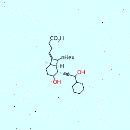 CCCCCCC1C(=CCCC(=O)O)[C@]2(C)CC[C@H](O)[C@@H](C#CC(O)C3CCCCC3)[C@H]12